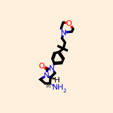 CC(C)(CCN1CCOCC1)c1ccc(N2C[C@@H]3[C@H](N)CCN3C2=O)cc1